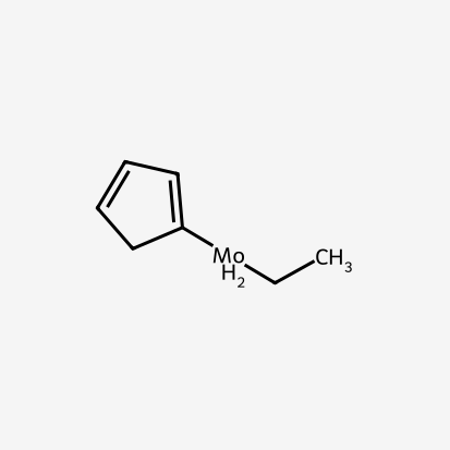 C[CH2][MoH2][C]1=CC=CC1